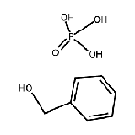 O=P(O)(O)O.OCc1ccccc1